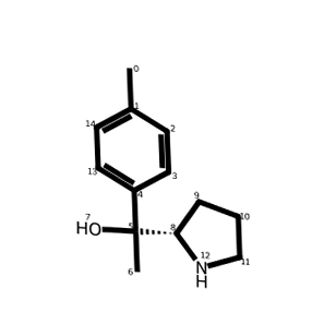 Cc1ccc(C(C)(O)[C@@H]2CCCN2)cc1